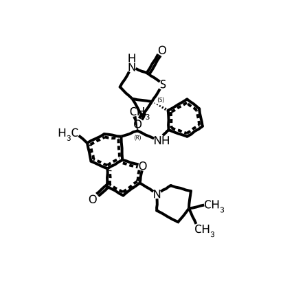 Cc1cc([C@@H](C)Nc2ccccc2[C@@]23SC(=O)NCC2C3=O)c2oc(N3CCC(C)(C)CC3)cc(=O)c2c1